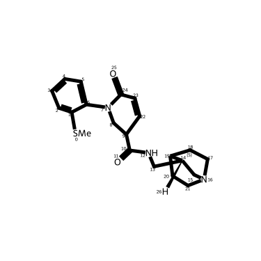 CSc1ccccc1N1CC(C(=O)NC[C@H]2CN3CCC2CC3)C=CC1=O